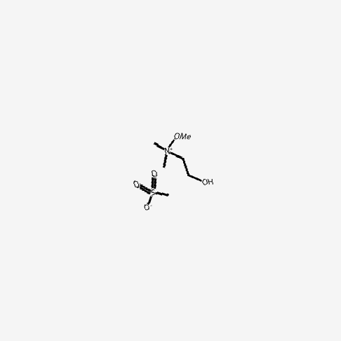 CO[N+](C)(C)CCO.CS(=O)(=O)[O-]